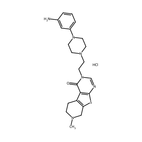 CN1CCc2c(sc3ncn(CCN4CCN(c5cccc(N)c5)CC4)c(=O)c23)C1.Cl